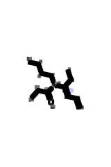 C=C/C=C(\CC)N(CCCC)C(=O)CC